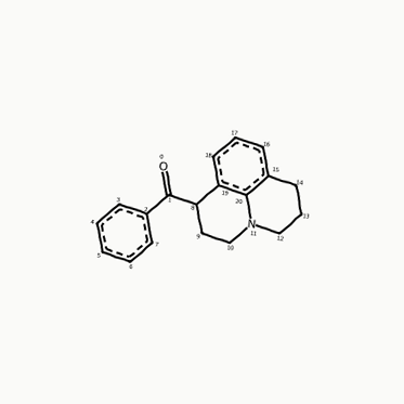 O=C(c1ccccc1)C1CCN2CCCc3cccc1c32